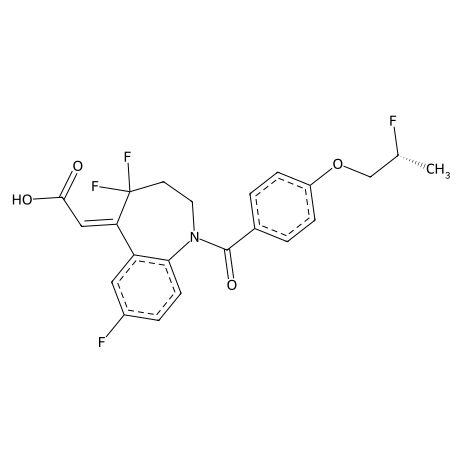 C[C@@H](F)COc1ccc(C(=O)N2CCC(F)(F)/C(=C\C(=O)O)c3cc(F)ccc32)cc1